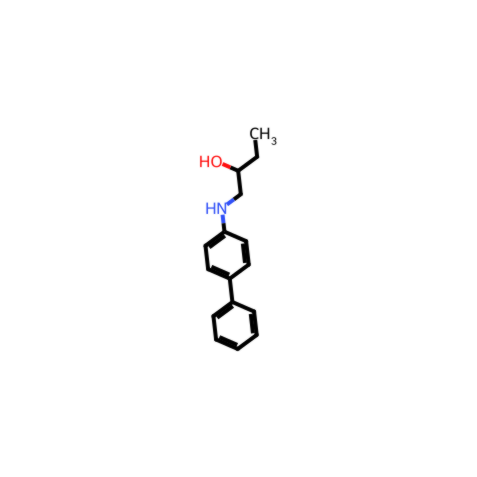 CCC(O)CNc1ccc(-c2ccccc2)cc1